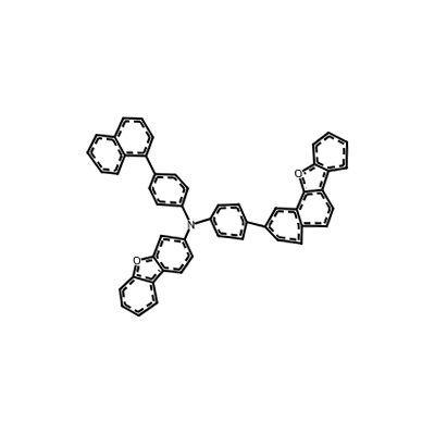 c1ccc2c(-c3ccc(N(c4ccc(-c5ccc6ccc7c8ccccc8oc7c6c5)cc4)c4ccc5c(c4)oc4ccccc45)cc3)cccc2c1